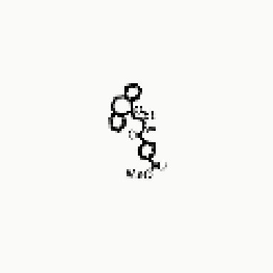 CCOC1(CCN(C)C(=O)c2ccc(C(=O)OC)cc2)c2ccccc2CCc2ccccc21